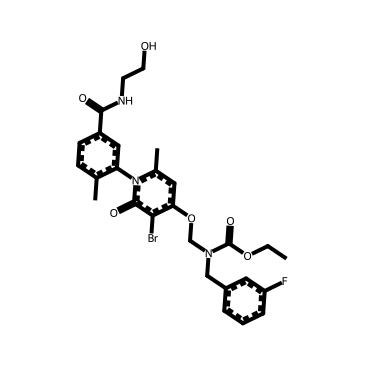 CCOC(=O)N(COc1cc(C)n(-c2cc(C(=O)NCCO)ccc2C)c(=O)c1Br)Cc1cccc(F)c1